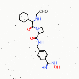 N=C(NO)c1ccc(CNC(=O)[C@@H]2CCN2C(=O)[C@H](NCC=O)C2CCCCC2)cc1